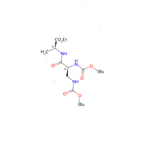 CCOC(=O)[C@H](C)NC(=O)[C@H](CNC(=O)OC(C)(C)C)NC(=O)OC(C)(C)C